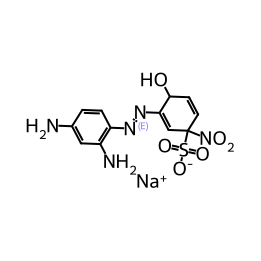 Nc1ccc(/N=N/C2=CC([N+](=O)[O-])(S(=O)(=O)[O-])C=CC2O)c(N)c1.[Na+]